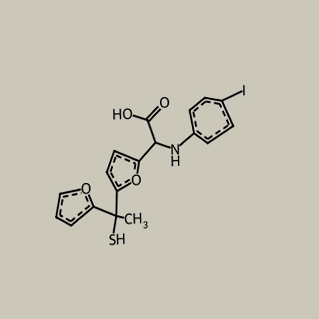 CC(S)(c1ccco1)c1ccc(C(Nc2ccc(I)cc2)C(=O)O)o1